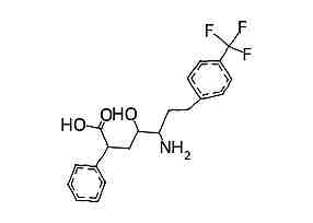 NC(CCc1ccc(C(F)(F)F)cc1)C(O)CC(C(=O)O)c1ccccc1